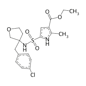 CCOC(=O)c1cc(S(=O)(=O)NC2(Cc3ccc(Cl)cc3)CCOC2)[nH]c1C